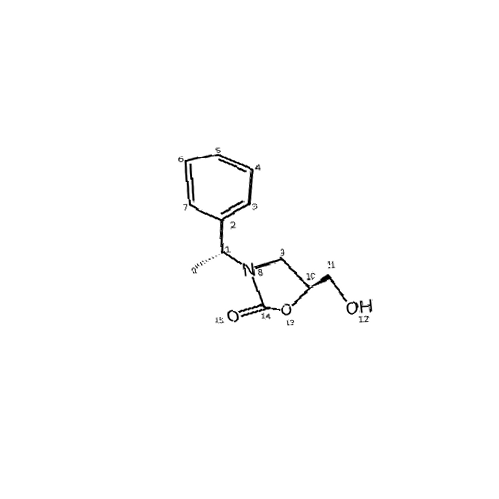 C[C@H](c1ccccc1)N1C[C@@H](CO)OC1=O